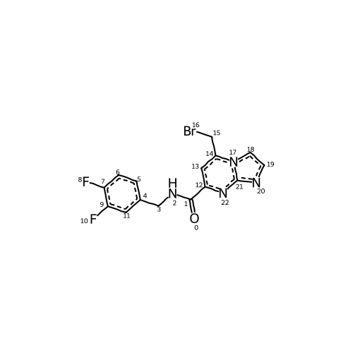 O=C(NCc1ccc(F)c(F)c1)c1cc(CBr)n2ccnc2n1